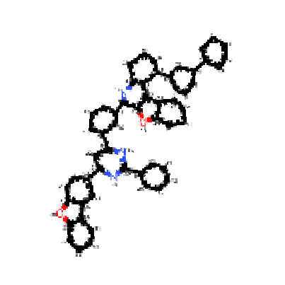 c1ccc(-c2cccc(-c3cccc4nc(-c5cccc(-c6cc(-c7ccc8oc9ccccc9c8c7)nc(-c7ccccc7)n6)c5)c5oc6ccccc6c5c34)c2)cc1